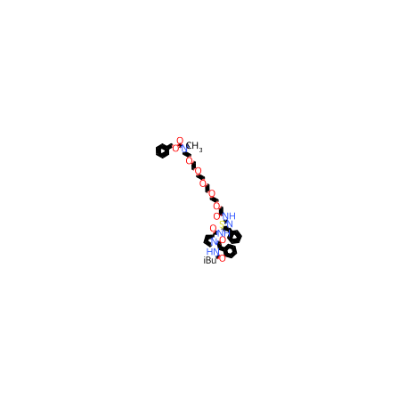 CC[C@@H](C)C(=O)N[C@H](C(=O)N1CCC[C@H]1C(=O)Nc1sc(NC(=O)COCCOCCOCCOCCOCCN(C)C(=O)OCc2ccccc2)nc1-c1ccccc1)C1CCCCC1